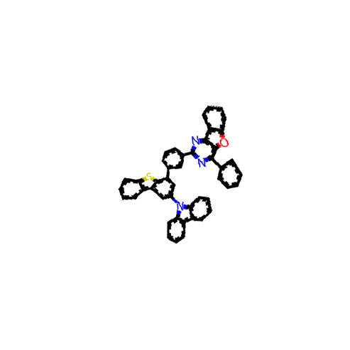 c1ccc(-c2nc(-c3cccc(-c4cc(-n5c6ccccc6c6ccccc65)cc5c4sc4ccccc45)c3)nc3c2oc2ccccc23)cc1